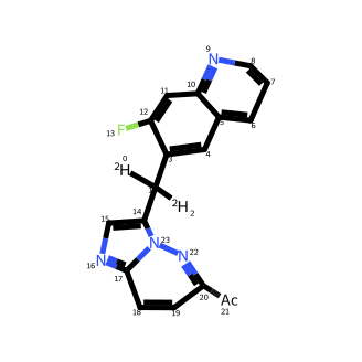 [2H]C([2H])(c1cc2cccnc2cc1F)c1cnc2ccc(C(C)=O)nn12